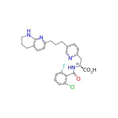 O=C(N[C@@H](Cc1ccc(CCCc2ccc3c(n2)NCCC3)cn1)C(=O)O)c1c(F)cccc1Cl